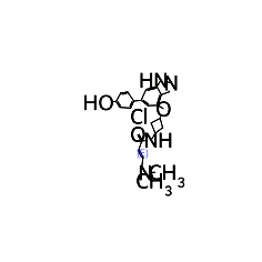 CN(C)C/C=C/C(=O)NC1CC(Oc2cc(-c3ccc(O)cc3Cl)cc3[nH]ncc23)C1